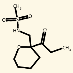 CCC(=O)C1(CNS(C)(=O)=O)CCCCO1